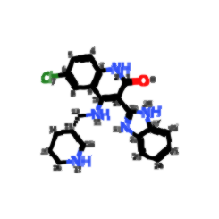 O=c1[nH]c2ccc(Cl)cc2c(NC[C@H]2CCCNC2)c1-c1nc2ccccc2[nH]1